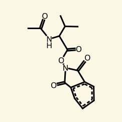 CC(=O)NC(C(=O)ON1C(=O)c2ccccc2C1=O)C(C)C